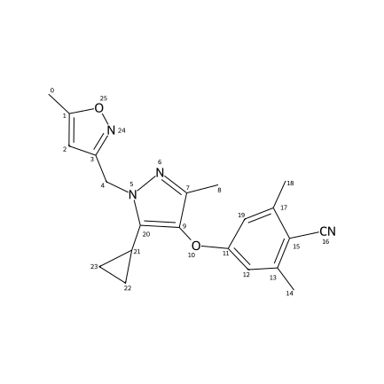 Cc1cc(Cn2nc(C)c(Oc3cc(C)c(C#N)c(C)c3)c2C2CC2)no1